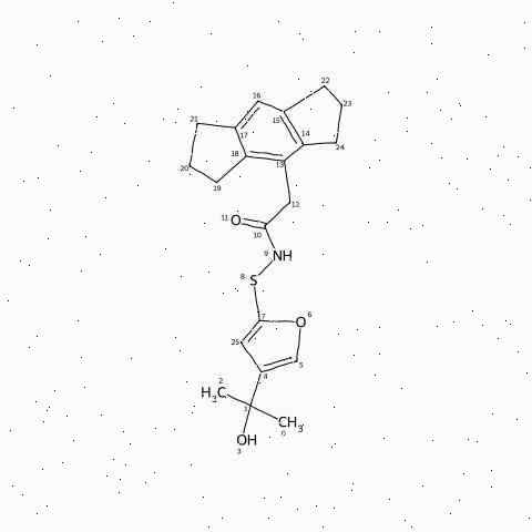 CC(C)(O)c1coc(SNC(=O)Cc2c3c(cc4c2CCC4)CCC3)c1